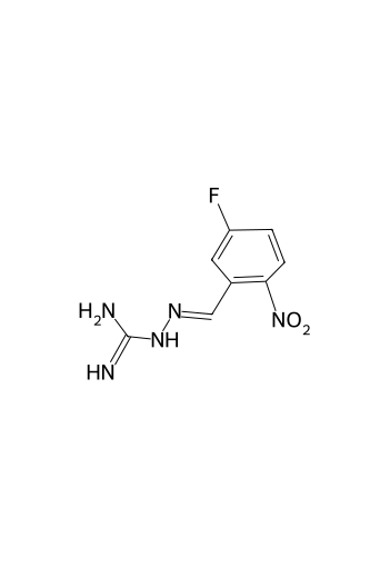 N=C(N)NN=Cc1cc(F)ccc1[N+](=O)[O-]